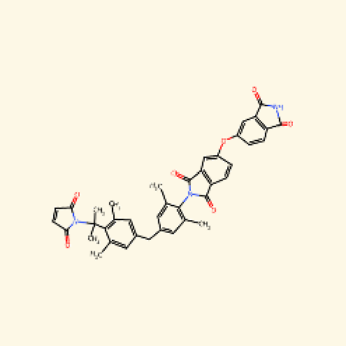 Cc1cc(Cc2cc(C)c(C(C)(C)N3C(=O)C=CC3=O)c(C)c2)cc(C)c1N1C(=O)c2ccc(Oc3ccc4c(c3)C(=O)NC4=O)cc2C1=O